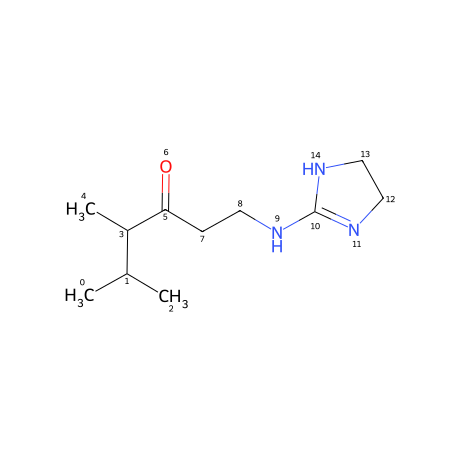 CC(C)C(C)C(=O)CCNC1=NCCN1